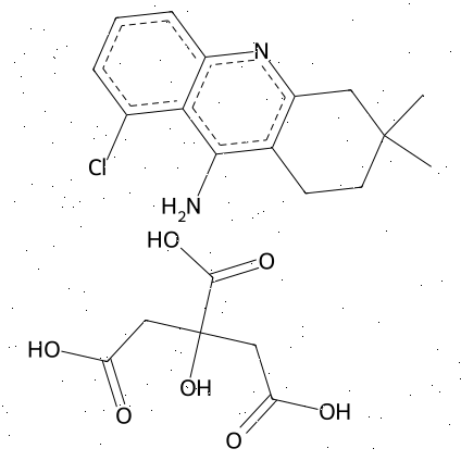 CC1(C)CCc2c(nc3cccc(Cl)c3c2N)C1.O=C(O)CC(O)(CC(=O)O)C(=O)O